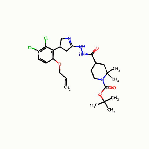 C=CCOc1ccc(Cl)c(Cl)c1C1CN=C(NNC(=O)C2CCN(C(=O)OC(C)(C)C)C(C)(C)C2)C1